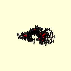 CSCC(NC(=O)CNC(=O)[C@H](CC(C)C)NC(=O)C1CCCN1C(=O)[C@@H](CCCNC(=N)N)NC(=O)[C@@H](CCCNC(=N)N)NC(C)=O)C(=O)N[C@@H](C)C(=O)NCC(=O)NCCOCC(=O)N[C@H](CCC(=O)O)C(=O)N[C@H](CCC(=O)O)C(=O)N[C@H](CCC(=O)O)C(=O)N[C@H](CCC(=O)O)C(=O)N[C@H](CCC(=O)O)C(=O)N[C@H](CCCCN)C(N)=O